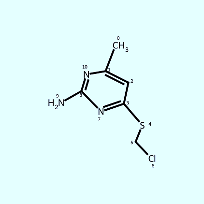 Cc1cc(SCCl)nc(N)n1